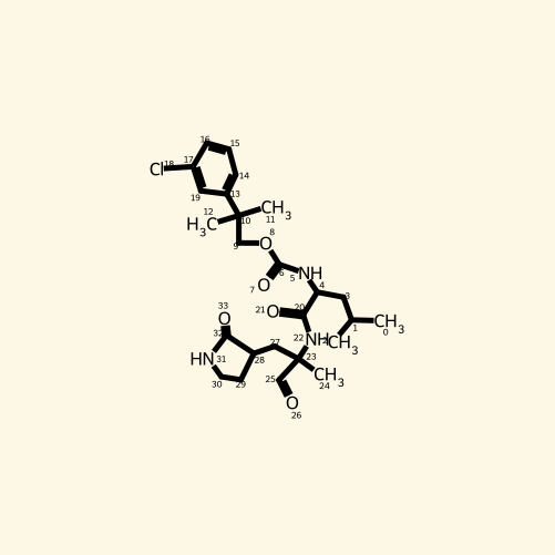 CC(C)CC(NC(=O)OCC(C)(C)c1cccc(Cl)c1)C(=O)NC(C)(C=O)CC1CCNC1=O